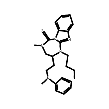 CCCCN1c2nc3ccccc3n2C(=O)N(C)CC1CCN(C)c1ccccc1